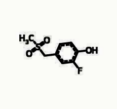 CS(=O)(=O)Cc1ccc(O)c(F)c1